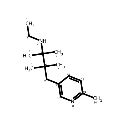 CCNC(C)(C)C(C)(C)Cc1ccc(C)nc1